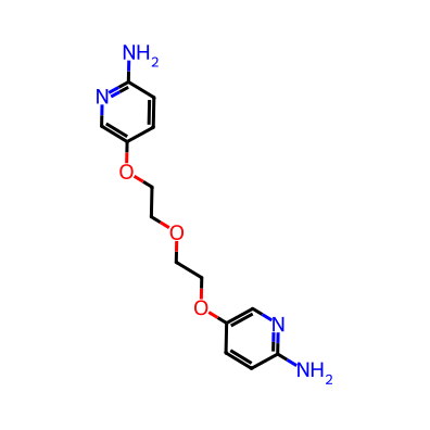 Nc1ccc(OCCOCCOc2ccc(N)nc2)cn1